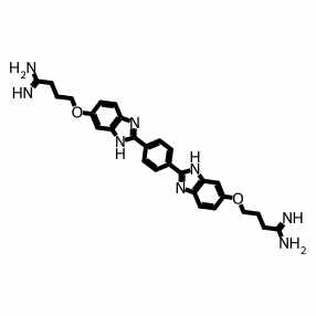 N=C(N)CCCOc1ccc2nc(-c3ccc(-c4nc5ccc(OCCCC(=N)N)cc5[nH]4)cc3)[nH]c2c1